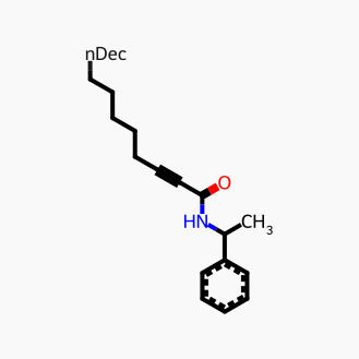 CCCCCCCCCCCCCCCC#CC(=O)NC(C)c1ccccc1